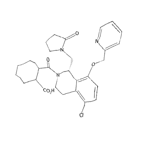 O=C(O)C1CCCCC1C(=O)N1CCc2c(Cl)ccc(OCc3ccccn3)c2[C@H]1CN1CCCC1=O